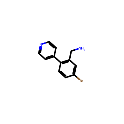 NCc1cc(Br)ccc1-c1ccncc1